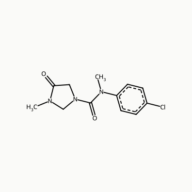 CN1CN(C(=O)N(C)c2ccc(Cl)cc2)CC1=O